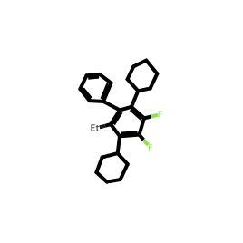 CCc1c(-c2ccccc2)c(C2CCCCC2)c(F)c(F)c1C1CCCCC1